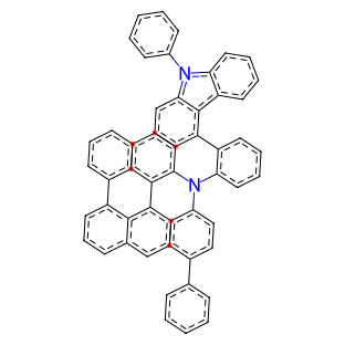 c1ccc(-c2ccc(N(c3ccccc3-c3cccc4cccc(-c5ccccc5)c34)c3ccccc3-c3cccc4c3c3ccccc3n4-c3ccccc3)cc2)cc1